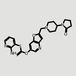 C=C(Oc1cnc2cc(CN3CCC(N4CCCC4=O)CC3)oc2c1)Sc1cccnc1N